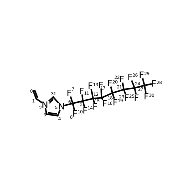 C=C[n+]1ccn(C(F)(F)C(F)(F)C(F)(F)C(F)(F)C(F)(F)C(F)(F)C(F)(F)C(F)(F)F)c1